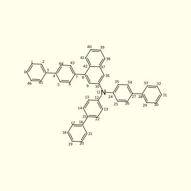 c1ccc(-c2ccc(-c3cc(N(c4ccc(-c5ccccc5)cc4)c4ccc(-c5ccccc5)cc4)cc4ccccc34)cc2)cc1